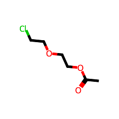 CC(=O)OCCOCCCl